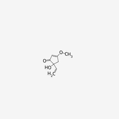 C=CC1(O)CC(OC)=CC1=O